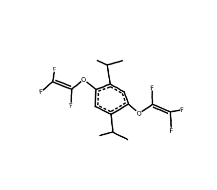 CC(C)c1cc(OC(F)=C(F)F)c(C(C)C)cc1OC(F)=C(F)F